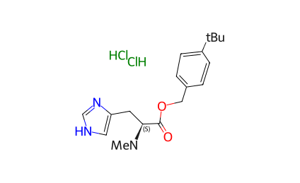 CN[C@@H](Cc1c[nH]cn1)C(=O)OCc1ccc(C(C)(C)C)cc1.Cl.Cl